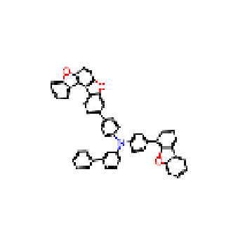 c1ccc(-c2cccc(N(c3ccc(-c4ccc5c(c4)oc4ccc6oc7ccccc7c6c45)cc3)c3ccc(-c4cccc5c4oc4ccccc45)cc3)c2)cc1